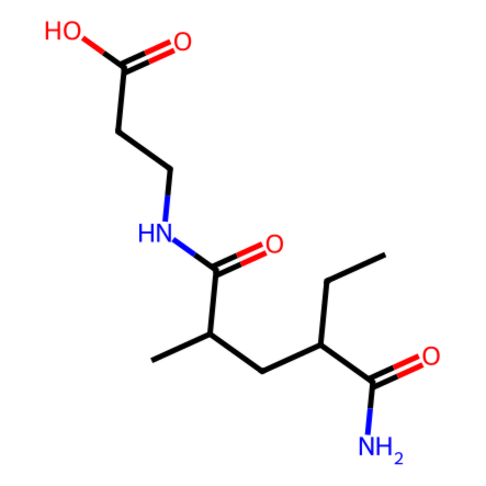 CCC(CC(C)C(=O)NCCC(=O)O)C(N)=O